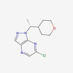 C[C@H](C1CCOCC1)n1ncc2ncc(Cl)nc21